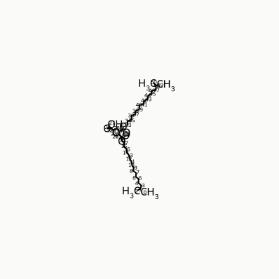 CC(C)CCCCCCCCCCCCCCCOC(=O)C1CCC(C(=O)O)CC1C(=O)OCCCCCCCCCCCCCCCC(C)C